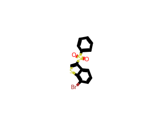 O=S(=O)(c1ccccc1)c1csc2c(Br)cccc12